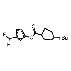 CCCCC1CCC(C(=O)Oc2cc(C(F)F)cs2)CC1